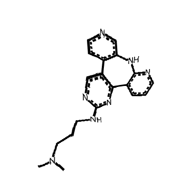 CN(C)CCCNc1ncc2c(n1)-c1cccnc1Nc1cnccc1-2